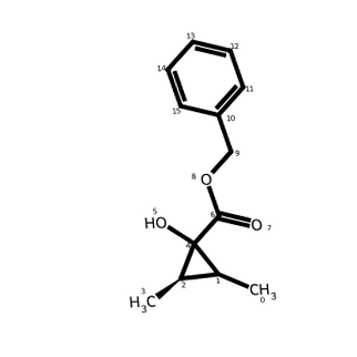 CC1[C@@H](C)C1(O)C(=O)OCc1ccccc1